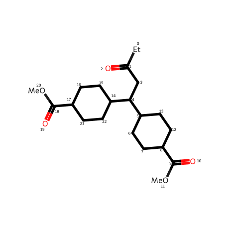 CCC(=O)CC(C1CCC(C(=O)OC)CC1)C1CCC(C(=O)OC)CC1